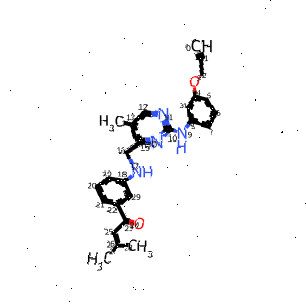 C#CCOc1cccc(Nc2ncc(C)c(CNc3cccc(C(=O)C=C(C)C)c3)n2)c1